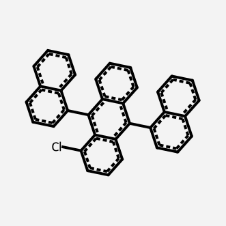 Clc1cccc2c(-c3cccc4ccccc34)c3ccccc3c(-c3cccc4ccccc34)c12